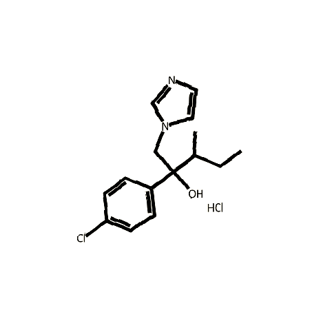 CCC(C)C(O)(Cn1ccnc1)c1ccc(Cl)cc1.Cl